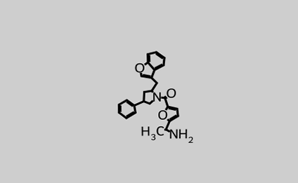 CC(N)c1ccc(C(=O)N2CC(c3ccccc3)CC2Cc2coc3ccccc23)o1